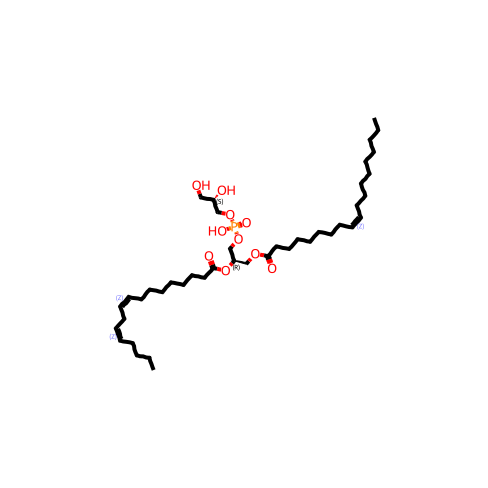 CCCC/C=C\C/C=C\CCCCCCCC(=O)O[C@H](COC(=O)CCCCCCC/C=C\CCCCCCCCC)COP(=O)(O)OC[C@@H](O)CO